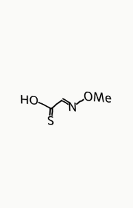 CON=CC(O)=S